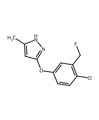 Cc1cc(Oc2ccc(Cl)c(CF)c2)n[nH]1